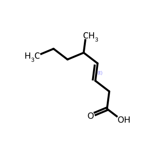 CCCC(C)/C=C/CC(=O)O